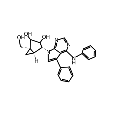 OC[C@@]12C[C@@H]1[C@@H](n1cc(-c3ccccc3)c3c(Nc4ccccc4)ncnc31)C(O)C2O